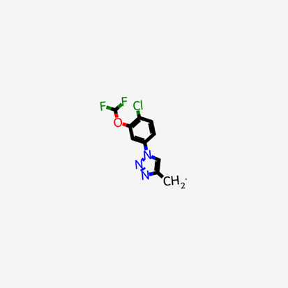 [CH2]c1cn(-c2ccc(Cl)c(OC(F)F)c2)nn1